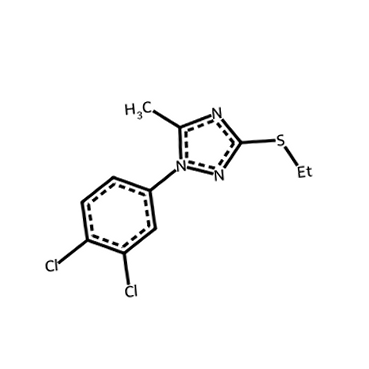 [CH2]CSc1nc(C)n(-c2ccc(Cl)c(Cl)c2)n1